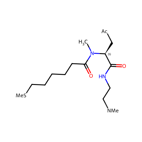 CNCCNC(=O)[C@H](CC(C)=O)N(C)C(=O)CCCCCSC